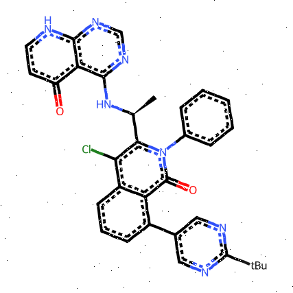 C[C@H](Nc1ncnc2[nH]ccc(=O)c12)c1c(Cl)c2cccc(-c3cnc(C(C)(C)C)nc3)c2c(=O)n1-c1ccccc1